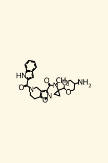 CN(C(=O)c1noc2c1CN(C(=O)c1cc3ccccc3[nH]1)CC2)C1(C2OCC(N)CO2)CC1